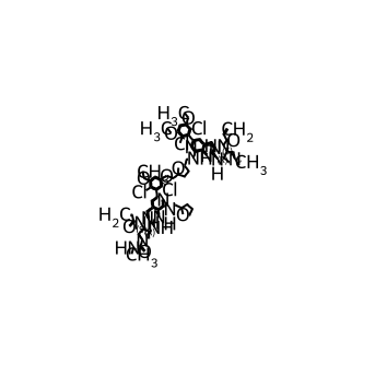 C=CC(=O)N[C@H]1CN(C)C[C@H]1Nc1ncc2cc(-c3c(Cl)c(OC)cc(OC)c3Cl)nc(NCC3CCC(COc4cc(OC)c(Cl)c(-c5cc6cnc(N[C@@H]7CN(C(=O)NC)C[C@@H]7NC(=O)C=C)nc6c(NCC6CCCO6)n5)c4Cl)O3)c2n1